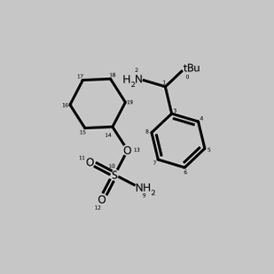 CC(C)(C)C(N)c1ccccc1.NS(=O)(=O)OC1CCCCC1